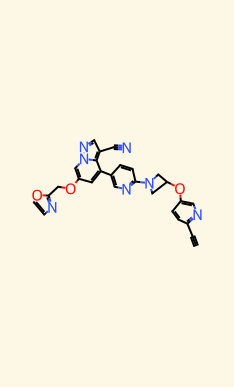 C#Cc1ccc(OC2CN(c3ccc(-c4cc(OCc5ncco5)cn5ncc(C#N)c45)cn3)C2)cn1